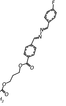 C=CC(=O)OCCCOC(=O)c1ccc(/C=N/N=C/c2ccc(F)cc2)cc1